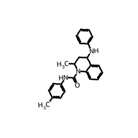 Cc1ccc(NC(=O)N2c3ccccc3C(Nc3ccccc3)CC2C)cc1